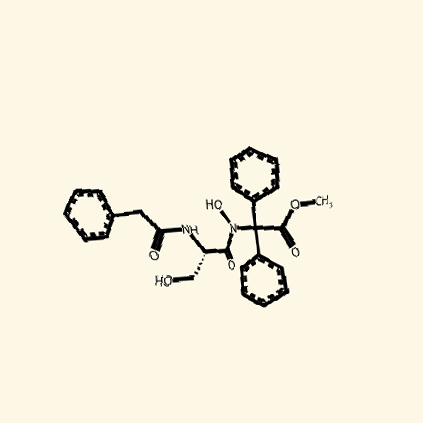 COC(=O)C(c1ccccc1)(c1ccccc1)N(O)C(=O)[C@H](CO)NC(=O)Cc1ccccc1